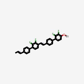 C/C=C/c1ccc(-c2ccc(/C=C/c3ccc(-c4ccc(OCC)c(F)c4F)cc3)c(F)c2F)cc1